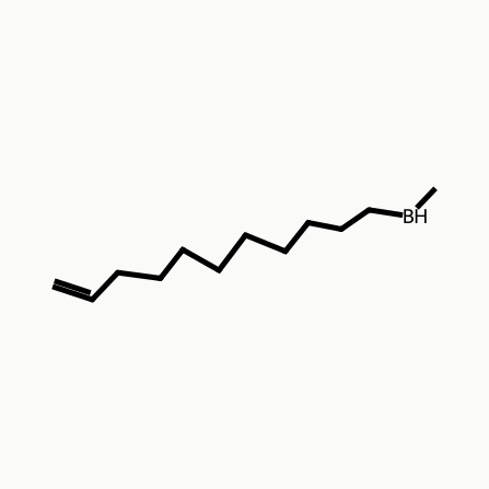 C=CCCCCCCCCCBC